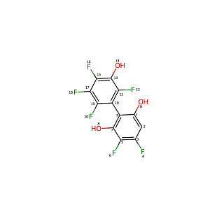 Oc1cc(F)c(F)c(O)c1-c1c(F)c(O)c(F)c(F)c1F